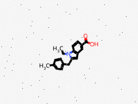 CCn1c(Cc2ccc(C)cc2)cc2cc(C(=O)O)ccc21